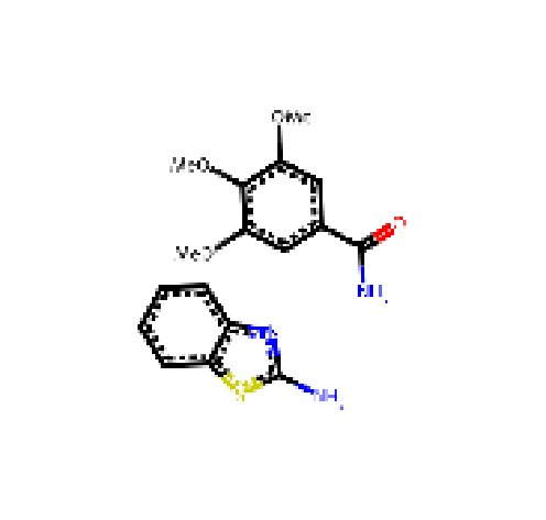 COc1cc(C(N)=O)cc(OC)c1OC.Nc1nc2ccccc2s1